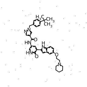 CC(C)(C)c1ccc(Cn2cc(C(=O)Nc3c[nH]c(=O)c(-c4cc5cc(OCCN6CCCCC6)ccc5[nH]4)c3)cn2)cc1